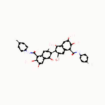 CCc1ccc(NC(=O)c2c(O)c(O)cc3c(O)c(-c4c(C)cc5c(C(=O)Nc6ccc(CC)cc6)c(O)c(O)cc5c4O)c(C)cc23)cc1